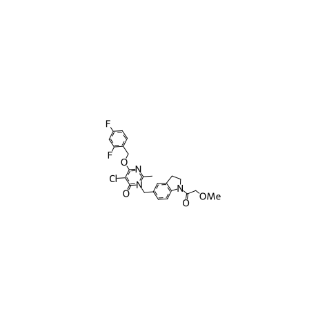 COCC(=O)N1CCc2cc(Cn3c(C)nc(OCc4ccc(F)cc4F)c(Cl)c3=O)ccc21